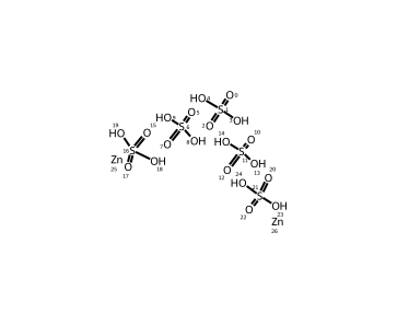 O=S(=O)(O)O.O=S(=O)(O)O.O=S(=O)(O)O.O=S(=O)(O)O.O=S(=O)(O)O.[Zn].[Zn]